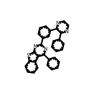 c1ccc(-c2nccnc2-c2cccc(-c3nc(-c4ccccc4)c4c(n3)sc3ccccc34)c2)cc1